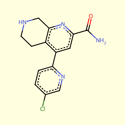 NC(=O)c1cc(-c2ccc(Cl)cn2)c2c(n1)CNCC2